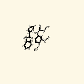 CCOc1ccc(NC(=O)OC(C)C)cc1OCC.c1ccc2[nH]c(-c3cscn3)nc2c1